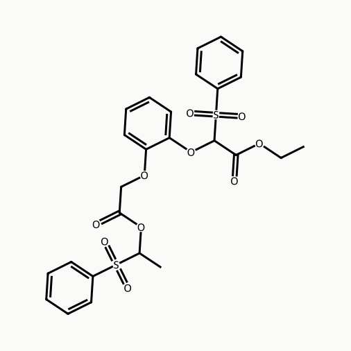 CCOC(=O)C(Oc1ccccc1OCC(=O)OC(C)S(=O)(=O)c1ccccc1)S(=O)(=O)c1ccccc1